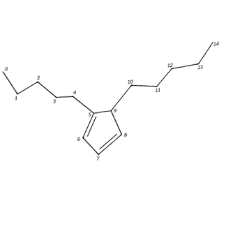 CCCCCC1=CC=CC1CCCCC